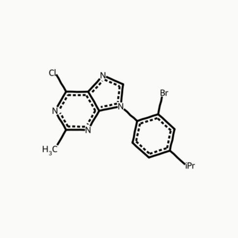 Cc1nc(Cl)c2ncn(-c3ccc(C(C)C)cc3Br)c2n1